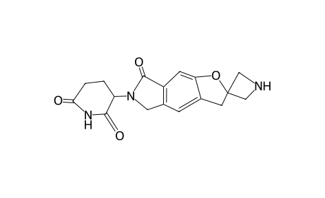 O=C1CCC(N2Cc3cc4c(cc3C2=O)OC2(CNC2)C4)C(=O)N1